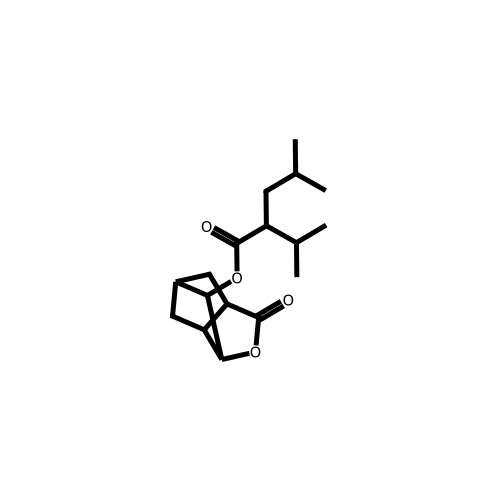 CC(C)CC(C(=O)OC1C2CC3C(=O)OC1C3C2)C(C)C